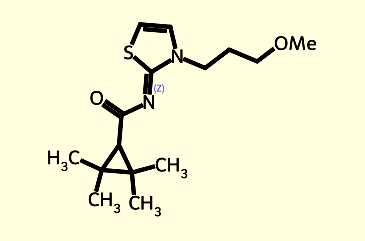 COCCCn1ccs/c1=N\C(=O)C1C(C)(C)C1(C)C